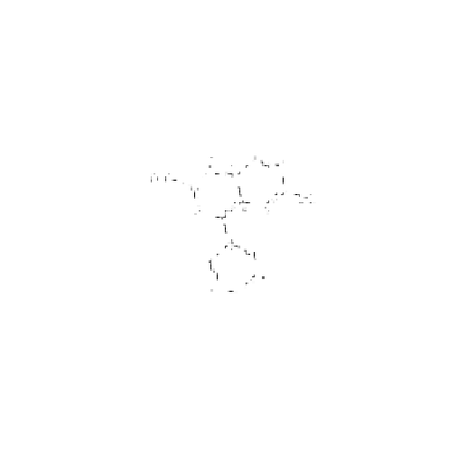 O=C(O)c1cc(-c2ccncc2)c2cc(Cl)ccc2n1